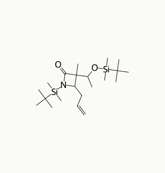 C=CCC1N([Si](C)(C)C(C)(C)C)C(=O)C1(C)C(C)O[Si](C)(C)C(C)(C)C